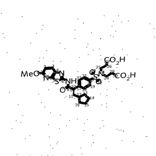 COc1ccc2nc(NC(=O)[C@H](CC3CCCC3)c3ccc(S(=O)(=O)N(CCC(=O)O)CCC(=O)O)cc3)sc2n1